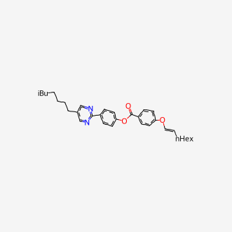 CCCCCCC=COc1ccc(C(=O)Oc2ccc(-c3ncc(CCCCC(C)CC)cn3)cc2)cc1